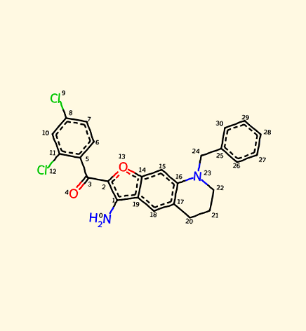 Nc1c(C(=O)c2ccc(Cl)cc2Cl)oc2cc3c(cc12)CCCN3Cc1ccccc1